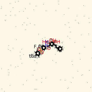 CC(C)(C)c1ccc(S(=O)(=O)c2ccc(NC(=O)c3cc(CCc4ccccc4)c(O)c(O)c3O)cc2C(F)(F)F)cc1